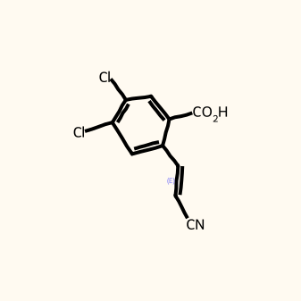 N#C/C=C/c1cc(Cl)c(Cl)cc1C(=O)O